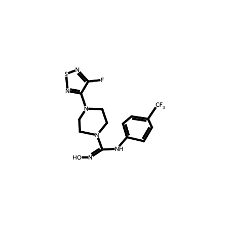 O/N=C(/Nc1ccc(C(F)(F)F)cc1)N1CCN(c2nsnc2F)CC1